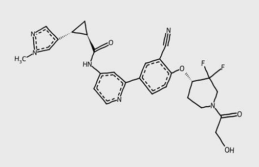 Cn1cc([C@@H]2C[C@H]2C(=O)Nc2ccnc(-c3ccc(O[C@H]4CCN(C(=O)CO)CC4(F)F)c(C#N)c3)c2)cn1